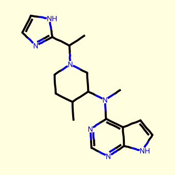 CC1CCN(C(C)c2ncc[nH]2)CC1N(C)c1ncnc2[nH]ccc12